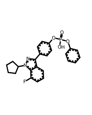 O=P(O)(Oc1ccccc1)Oc1ccc(-c2nn(C3CCCC3)c3c(F)cccc23)cc1